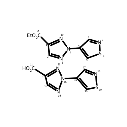 CCOC(=O)c1cnn(-c2cnsc2)n1.O=C(O)c1cnn(-c2cnsc2)n1